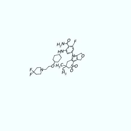 CC1(C)Cc2c(c3c(n2-c2cc(F)c(C(N)=O)c(N[C@H]4CC[C@H](OCCN5CCC(F)(F)CC5)CC4)c2)COC3)S(=O)(=O)C1